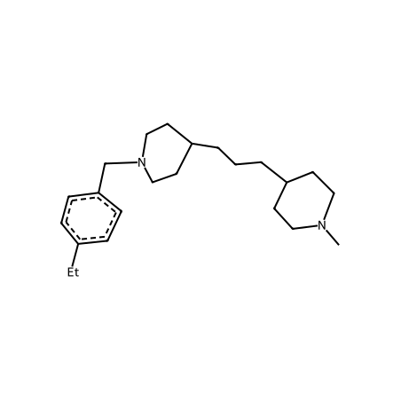 CCc1ccc(CN2CCC(CCCC3CCN(C)CC3)CC2)cc1